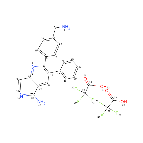 NCc1ccc(-c2nc3ccnc(N)c3cc2-c2ccccc2)cc1.O=C(O)C(F)(F)F.O=C(O)C(F)(F)F